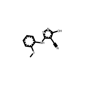 CSc1ccccc1Nc1snc(O)c1C#N